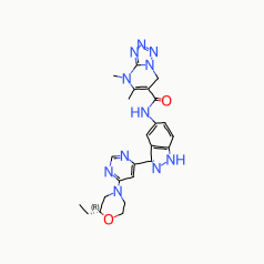 CC[C@@H]1CN(c2cc(-c3n[nH]c4ccc(NC(=O)C5=C(C)N(C)c6nnnn6C5)cc34)ncn2)CCO1